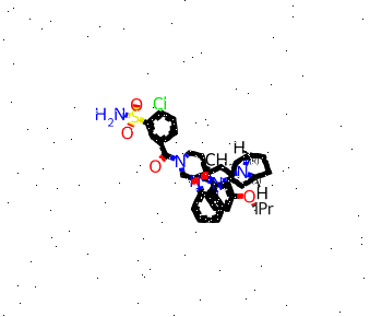 Cc1nc2ccccc2n1C1C[C@H]2CC[C@@H](C1)N2CCC1(c2cccc(OC(C)C)c2)CCN(C(=O)c2ccc(Cl)c(S(N)(=O)=O)c2)CC1